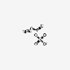 O=P[O-].O=S(=O)([O-])[O-].[Na+].[Ni+2]